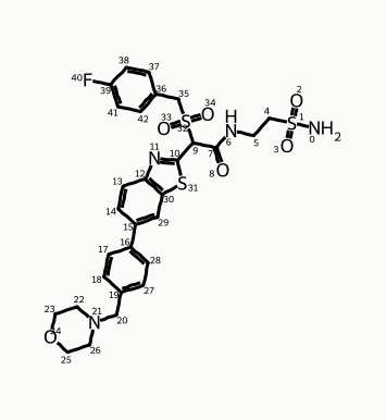 NS(=O)(=O)CCNC(=O)C(c1nc2ccc(-c3ccc(CN4CCOCC4)cc3)cc2s1)S(=O)(=O)Cc1ccc(F)cc1